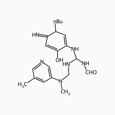 CCCCC1C=C(NC(NC=O)NCN(C)c2cncc(C)c2)C(O)=CC1=N